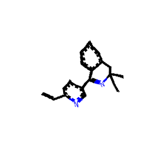 C=Cc1ccc(C2=NC(C)(C)Cc3ccccc32)cn1